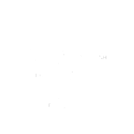 CCc1ccc([C@@](O)(C(=O)OC2CCNCC2)[C@@H]2CCC(F)(F)C2)cc1